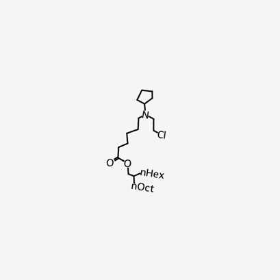 CCCCCCCCC(CCCCCC)COC(=O)CCCCCN(CCCl)C1CCCC1